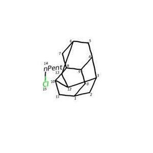 C1C2CC3C4CC5CC(C14)C(C2)C3C5.CCCCCCl